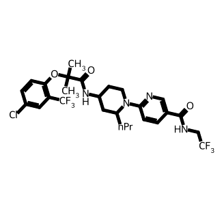 CCCC1CC(NC(=O)C(C)(C)Oc2ccc(Cl)cc2C(F)(F)F)CCN1c1ccc(C(=O)NCC(F)(F)F)cn1